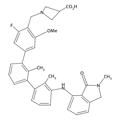 COc1cc(-c2cccc(-c3cccc(Nc4cccc5c4C(=O)N(C)C5)c3C)c2C)cc(F)c1CN1CC(C(=O)O)C1